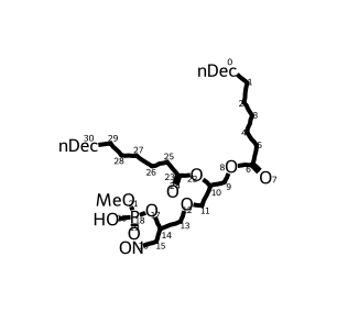 CCCCCCCCCCCCCCCC(=O)OCC(COCC(CN=O)OP(=O)(O)OC)OC(=O)CCCCCCCCCCCCCCC